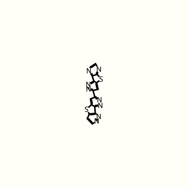 c1cc2sc3cc(-c4cc5sc6nccnc6c5nn4)nnc3c2nn1